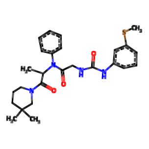 CSc1cccc(NC(=O)NCC(=O)N(c2ccccc2)C(C)C(=O)N2CCCC(C)(C)C2)c1